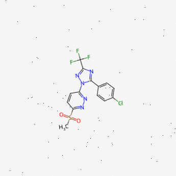 CS(=O)(=O)c1ccc(-n2nc(C(F)(F)F)nc2-c2ccc(Cl)cc2)nn1